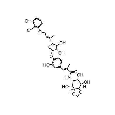 CC(=Cc1ccc(O[C@@H]2O[C@H](C(C)=CCOc3cccc(Cl)c3Cl)[C@@H](O)[C@@H]2O)c(O)c1)C(=O)N[C@@H]1[C@H](O)[C@@H](O)[C@H]2OCO[C@H]2[C@@H]1O